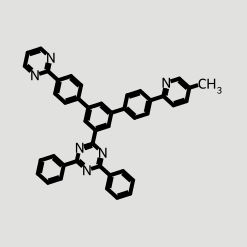 Cc1ccc(-c2ccc(-c3cc(-c4ccc(-c5ncccn5)cc4)cc(-c4nc(-c5ccccc5)nc(-c5ccccc5)n4)c3)cc2)nc1